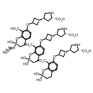 O=C(O)c1c(OC2CN([C@H]3CN[C@H](C(=O)O)C3)C2)ccc2c1O[B-](O)(O)CC2.O=C(O)c1c(OC2CN([C@H]3CN[C@H](C(=O)O)C3)C2)ccc2c1O[B-](O)(O)CC2.O=C(O)c1c(OC2CN([C@H]3CN[C@H](C(=O)O)C3)C2)ccc2c1O[B-](O)(O)CC2.[Na+].[Na+].[Na+]